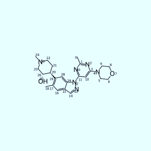 Cc1nc(N2CCOCC2)cc(-n2ncc3cc(C)c([C@@H]4CCN(C)C[C@H]4O)cc32)n1